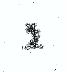 CCCc1nc(C(C)(C)O)c(C(=O)OCC2CCCCC2)n1Cc1ccc2c(c1)CCc1ccccc1N2Cc1nnn(C(c2ccccc2)(c2ccccc2)c2ccccc2)n1